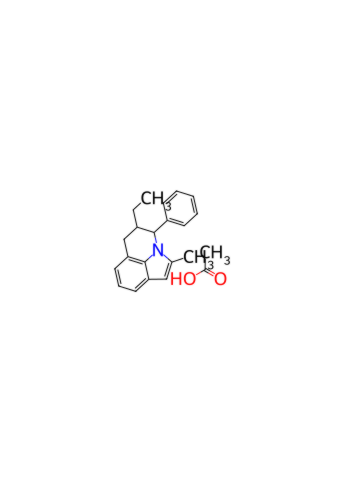 CC(=O)O.CCC1Cc2cccc3cc(C)n(c23)C1c1ccccc1